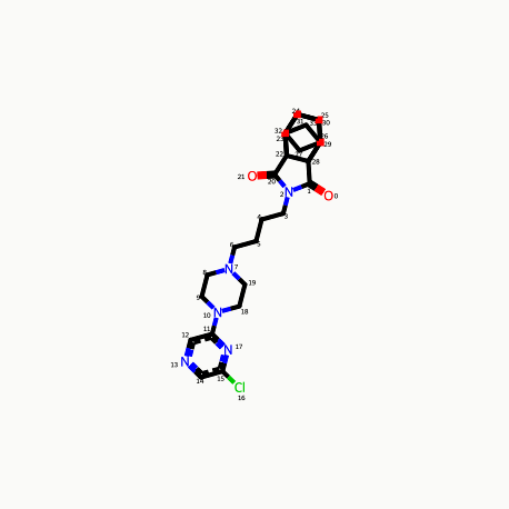 O=C1N(CCCCN2CCN(c3cncc(Cl)n3)CC2)C(=O)C23C4CCC(C4)C12C1CCC3C1